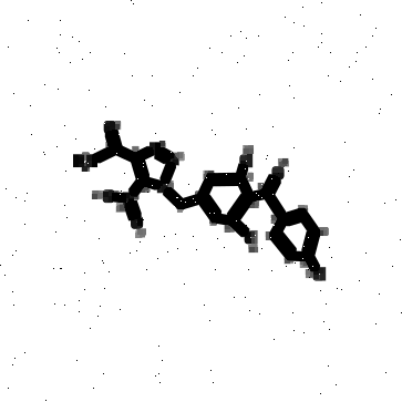 NC(=O)c1nnn(Cc2cc(Cl)c(C(=O)c3ccc(Cl)cc3)c(Cl)c2)c1[N+](=O)[O-]